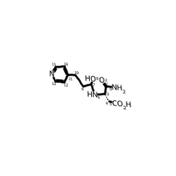 NC(=O)[C@H](CC(=O)O)NC(O)CCc1ccncc1